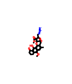 COc1c2c(c(O)c3c4c(c(C)cc13)C1OC3(CN=[N+]=[N-])OC1[C@@](OC)(O4)[C@@]31CO1)C(=O)CCC2